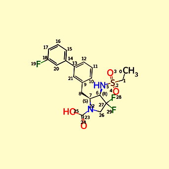 CCS(=O)(=O)N[C@@H]1[C@H](Cc2cccc(-c3cccc(F)c3)c2)N(C(=O)O)CC1(F)F